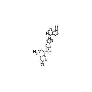 NCC(C(=O)N1Cc2cn(-c3ncnc4[nH]ccc34)nc2C1)c1ccc(Cl)cc1